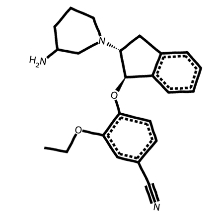 CCOc1cc(C#N)ccc1O[C@@H]1c2ccccc2C[C@H]1N1CCCC(N)C1